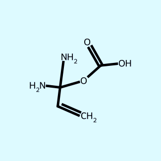 C=CC(N)(N)OC(=O)O